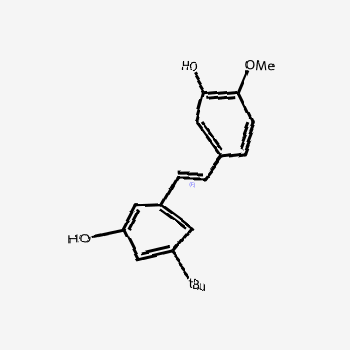 COc1ccc(/C=C/c2cc(O)cc(C(C)(C)C)c2)cc1O